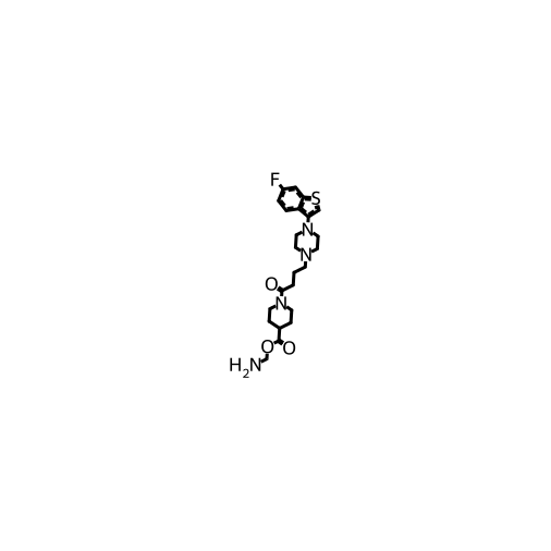 NCOC(=O)C1CCN(C(=O)CCCN2CCN(c3csc4cc(F)ccc34)CC2)CC1